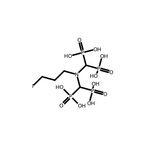 O=P(O)(O)C(N(CCCI)C(P(=O)(O)O)P(=O)(O)O)P(=O)(O)O